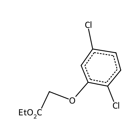 CCOC(=O)COc1cc(Cl)ccc1Cl